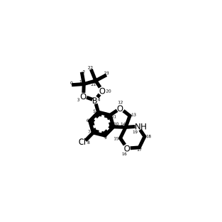 CC1(C)OB(c2cc(Cl)cc3c2OCC32COCCN2)OC1(C)C